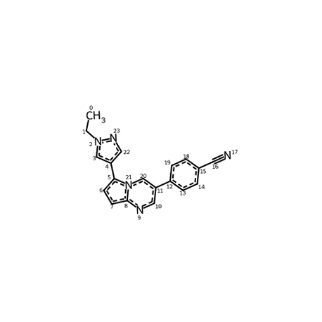 CCn1cc(-c2ccc3ncc(-c4ccc(C#N)cc4)cn23)cn1